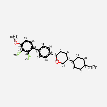 CCCC1CCC([C@@H]2CC[C@@H](c3ccc(-c4ccc(OCC)c(F)c4F)cc3)OC2)CC1